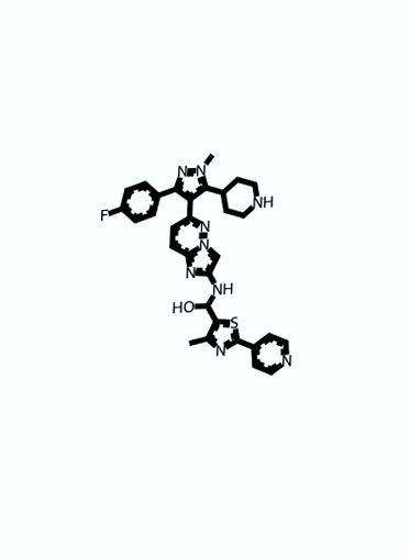 Cc1nc(-c2ccncc2)sc1C(O)Nc1cn2nc(-c3c(-c4ccc(F)cc4)nn(C)c3C3CCNCC3)ccc2n1